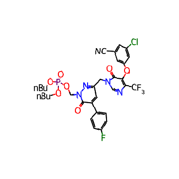 CCCCOP(=O)(OCCCC)OCn1nc(Cn2cnc(C(F)(F)F)c(Oc3cc(Cl)cc(C#N)c3)c2=O)cc(-c2ccc(F)cc2)c1=O